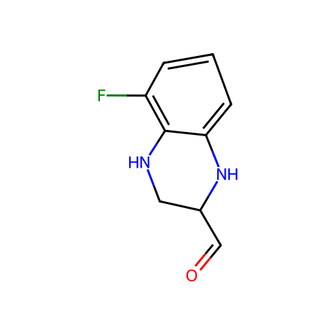 O=CC1CNc2c(F)cccc2N1